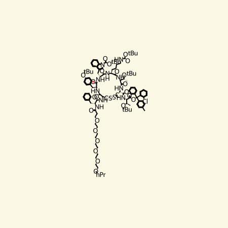 CCCOCCOCCOCCOCCOCCOCCC(=O)N[C@H](Cc1ccccc1)C(=O)NC1CSSC[C@@H](C(=O)N[C@H](C(=O)OC(c2ccccc2)(c2ccc(C)cc2)c2ccccc2Cl)[C@@H](C)OC(C)(C)C)NC(=O)[C@H]([C@@H](C)OC(C)(C)C)NC(=O)[C@H](CCCCNC(=O)OC(C)(C)C)NC(=O)[C@@H](Cc2cn(C(=O)OC(C)(C)C)c3ccccc23)NC(=O)[C@H](Cc2ccc(OC(C)(C)C)cc2)NC1=O